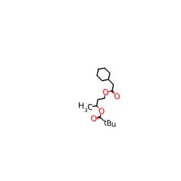 CC(CCOC(=O)CC1CCCCC1)OC(=O)C(C)(C)C